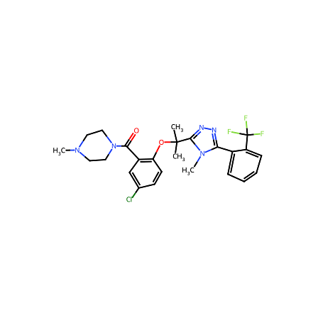 CN1CCN(C(=O)c2cc(Cl)ccc2OC(C)(C)c2nnc(-c3ccccc3C(F)(F)F)n2C)CC1